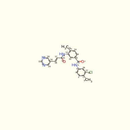 Cc1ccc(NC(=O)c2ccc(C)c(NC(=O)C=Cc3cncnc3)c2)cc1Cl